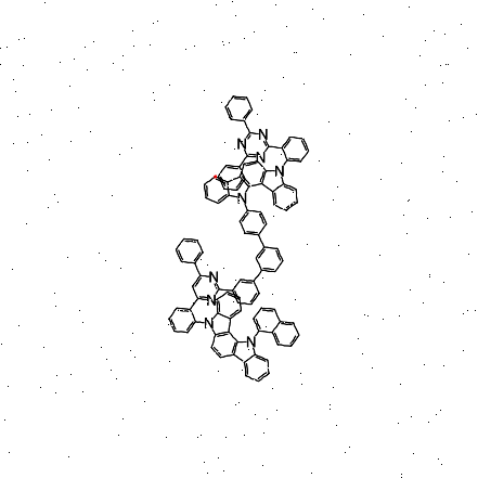 c1ccc(-c2cc(-c3ccccc3-n3c4ccccc4c4c3ccc3c5ccccc5n(-c5cccc6ccccc56)c34)nc(-c3cccc(-c4cccc(-c5ccc(-n6c7ccccc7c7ccc8c(c9ccccc9n8-c8ccccc8-c8nc(-c9ccccc9)nc(-c9ccccc9)n8)c76)cc5)c4)c3)n2)cc1